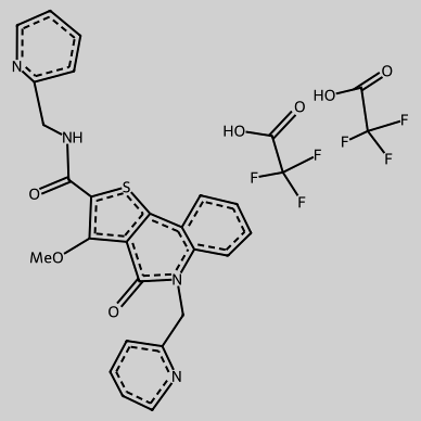 COc1c(C(=O)NCc2ccccn2)sc2c1c(=O)n(Cc1ccccn1)c1ccccc21.O=C(O)C(F)(F)F.O=C(O)C(F)(F)F